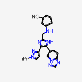 CC(C)n1ccc(-c2nc(CNc3cccc(C#N)c3)[nH]c2-c2ccc3ncnn3c2)n1